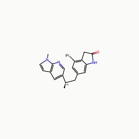 CC(C)c1cc(C[C@@H](C)c2cnc3c(ccn3C)c2)cc2c1CC(=O)N2